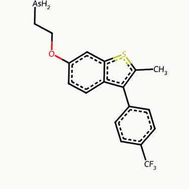 Cc1sc2cc(OCC[AsH2])ccc2c1-c1ccc(C(F)(F)F)cc1